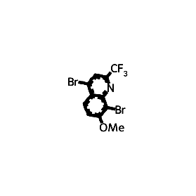 COc1ccc2c(Br)cc(C(F)(F)F)nc2c1Br